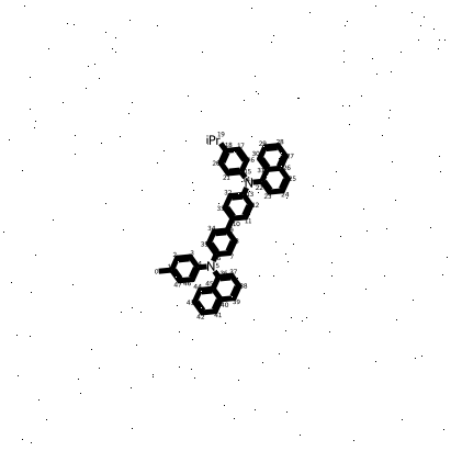 Cc1ccc(N(c2ccc(-c3ccc(N(c4ccc(C(C)C)cc4)c4cccc5ccccc45)cc3)cc2)c2cccc3ccccc23)cc1